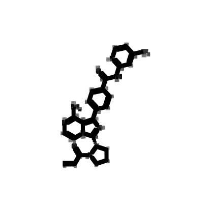 C=CC(=O)N1CCC[C@H]1c1nc(-c2ccc(C(=O)Nc3cc(C(F)(F)F)ccn3)cc2)c2c(N)nccn12